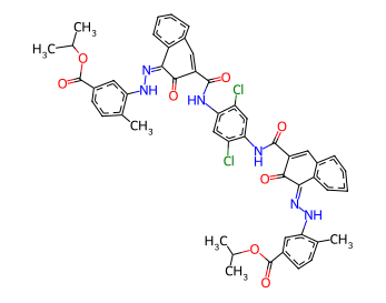 Cc1ccc(C(=O)OC(C)C)cc1N/N=C1\C(=O)C(C(=O)Nc2cc(Cl)c(NC(=O)C3=Cc4ccccc4/C(=N\Nc4cc(C(=O)OC(C)C)ccc4C)C3=O)cc2Cl)=Cc2ccccc21